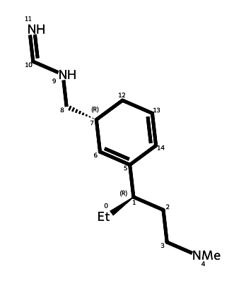 CC[C@H](CCNC)C1=C[C@H](CNC=N)CC=C1